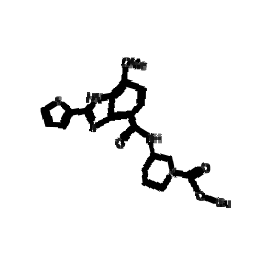 COc1ccc(C(=O)N[C@@H]2CCCN(C(=O)OC(C)(C)C)C2)c2nc(-c3cccs3)[nH]c12